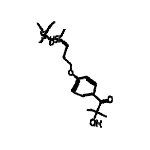 C[SiH](CCCOc1ccc(C(=O)C(C)(C)O)cc1)O[Si](C)(C)C